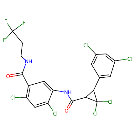 O=C(NCCC(F)(F)F)c1cc(NC(=O)C2C(c3cc(Cl)cc(Cl)c3)C2(Cl)Cl)c(Cl)cc1Cl